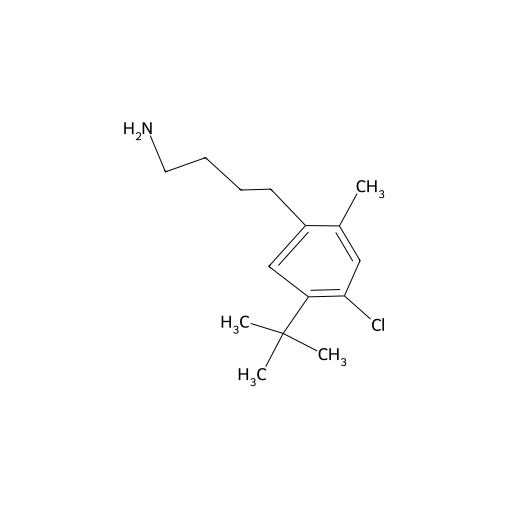 Cc1cc(Cl)c(C(C)(C)C)cc1CCCCN